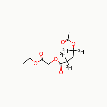 [2H]C([2H])(CC([2H])([2H])C(=O)OCC(=O)OCC)OC(C)=O